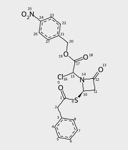 O=C(Cc1ccccc1)S[C@@H]1CC(=O)N1C(Cl)C(=O)OCc1ccc([N+](=O)[O-])cc1